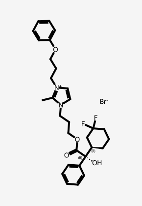 Cc1n(CCCOC(=O)[C@](O)(c2ccccc2)[C@@H]2CCCC(F)(F)C2)cc[n+]1CCCOc1ccccc1.[Br-]